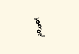 O=C(O)c1ccc(-c2cnc(Nc3cccc(S(=O)(=O)CO)c3)nc2)cc1